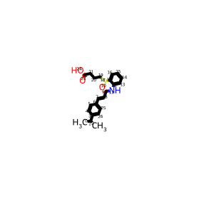 CC(C)c1ccc(C=CC(=O)Nc2ccccc2SCCCC(=O)O)cc1